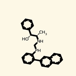 C[C@H](NCPc1ccccc1-c1ccc2ccccc2c1)[C@H](O)c1ccccc1